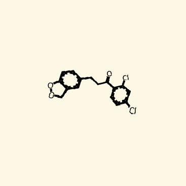 O=C(CCc1ccc2c(c1)COO2)c1ccc(Cl)cc1Cl